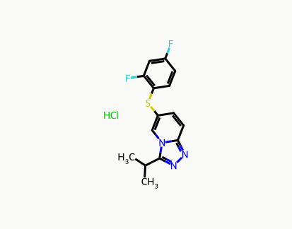 CC(C)c1nnc2ccc(Sc3ccc(F)cc3F)cn12.Cl